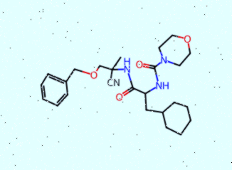 CC(C#N)(COCc1ccccc1)NC(=O)C(CC1CCCCC1)NC(=O)N1CCOCC1